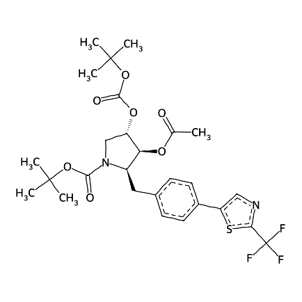 CC(=O)O[C@@H]1[C@@H](OC(=O)OC(C)(C)C)CN(C(=O)OC(C)(C)C)[C@@H]1Cc1ccc(-c2cnc(C(F)(F)F)s2)cc1